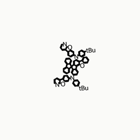 CC(C)(C)c1ccc(N(c2ccc3c(c2)C2(c4ccccc4-c4ccccc42)c2cc(N(c4ccc(C(C)(C)C)cc4)c4ccc5c(c4)oc4ncccc45)c4c(oc5ccccc54)c2-3)c2ccc3c(c2)oc2ncccc23)cc1